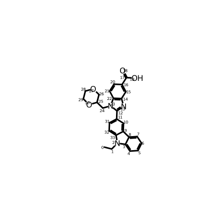 CCn1c2ccccc2c2cc(-c3nc4cc(C(=O)O)ccc4n3CC3COCCO3)ccc21